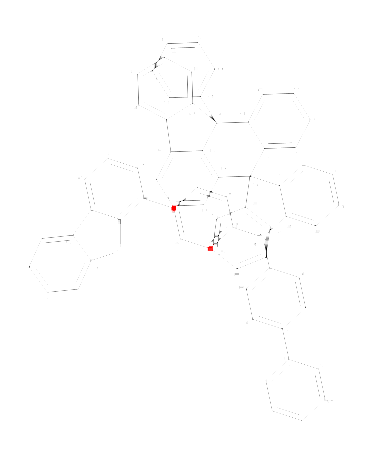 c1ccc(-c2ccc(N(c3ccc(-c4cccc5c4oc4ccccc45)cc3)c3ccccc3C3(c4ccccc4)c4ccccc4C4(c5ccccc5)c5ccccc5-c5cccc3c54)cc2)cc1